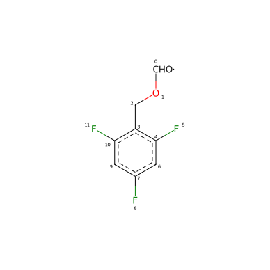 O=[C]OCc1c(F)cc(F)cc1F